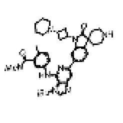 CC[C@H](C)n1cnc2cc(-c3ccc4c(c3)N([C@H]3C[C@@H](N5CCCCC5)C3)C(=O)C43CCNCC3)nc(Nc3ccc(C)c(C(=O)NC)c3)c21